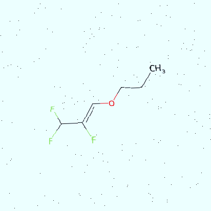 CCCOC=C(F)C(F)F